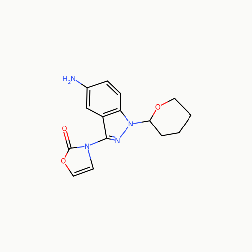 Nc1ccc2c(c1)c(-n1ccoc1=O)nn2C1CCCCO1